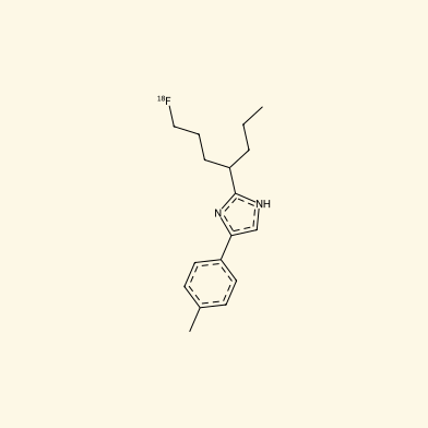 CCCC(CCC[18F])c1nc(-c2ccc(C)cc2)c[nH]1